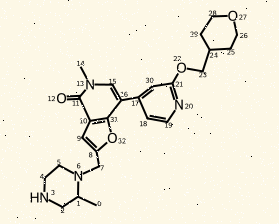 CC1CNCCN1Cc1cc2c(=O)n(C)cc(-c3ccnc(OCC4CCOCC4)c3)c2o1